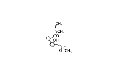 CC#CC[C@@H](C)C(=O)/C=C/C1CCC[C@@H]1c1cccc(CCCC(=O)OC)c1O